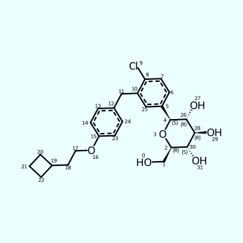 OC[C@H]1O[C@@H](c2ccc(Cl)c(Cc3ccc(OCCC4CCC4)cc3)c2)[C@H](O)[C@@H](O)[C@@H]1O